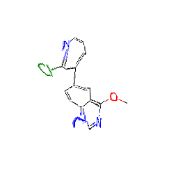 COc1ncnc2ccc(-c3cccnc3Cl)cc12